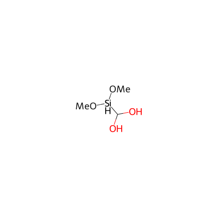 CO[SiH](OC)C(O)O